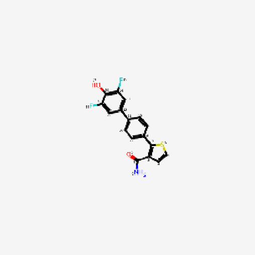 NC(=O)c1ccsc1-c1ccc(-c2cc(F)c(O)c(F)c2)cc1